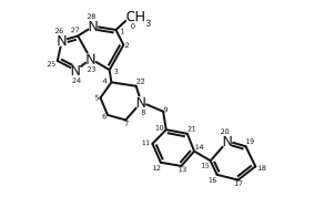 Cc1cc(C2CCCN(Cc3cccc(-c4ccccn4)c3)C2)n2ncnc2n1